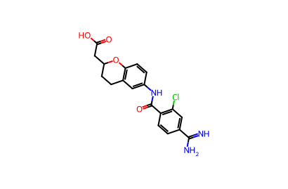 N=C(N)c1ccc(C(=O)Nc2ccc3c(c2)CCC(CC(=O)O)O3)c(Cl)c1